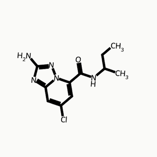 CCC(C)NC(=O)c1cc(Cl)cc2nc(N)nn12